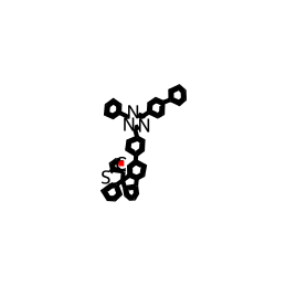 c1ccc(-c2ccc(-c3nc(-c4ccccc4)nc(-c4ccc(-c5ccc6c(c5)C5(c7ccccc7Sc7ccccc75)c5ccccc5-6)cc4)n3)cc2)cc1